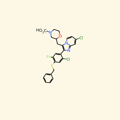 O=C(O)N1CCOC(Cc2c(-c3cc(F)c(SCc4ccccc4)cc3Cl)nc3cc(Cl)ccn23)C1